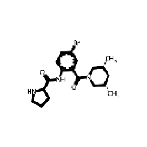 C[C@@H]1C[C@H](C)CN(C(=O)c2cc(Br)ccc2NC(=O)C2CCCN2)C1